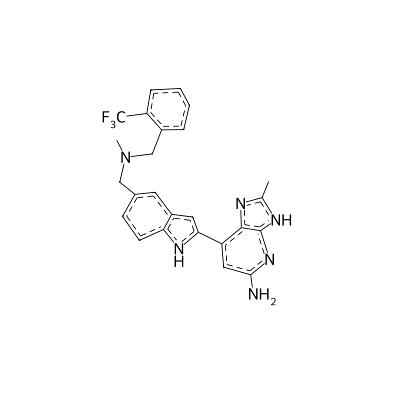 Cc1nc2c(-c3cc4cc(CN(C)Cc5ccccc5C(F)(F)F)ccc4[nH]3)cc(N)nc2[nH]1